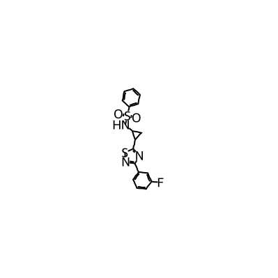 O=S(=O)(NC1CC1c1nc(-c2cccc(F)c2)ns1)c1ccccc1